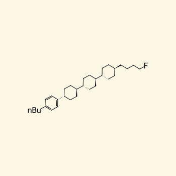 CCCCc1ccc([C@H]2CC[C@H]([C@H]3CC[C@H]([C@H]4CC[C@H](CCCCF)CC4)CC3)CC2)cc1